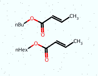 CC=CC(=O)OCCCC.CC=CC(=O)OCCCCCC